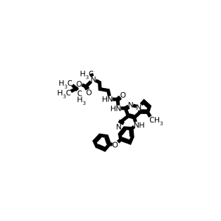 Cc1ccn2nc(NC(=O)NCCCN(C)C(=O)OC(C)(C)C)c(C#N)c(Nc3ccc(Oc4ccccc4)cc3)c12